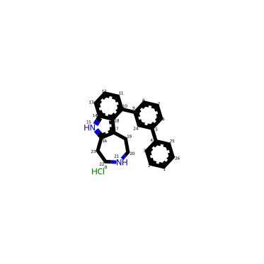 Cl.c1ccc(-c2cccc(-c3cccc4[nH]c5c(c34)CCNCC5)c2)cc1